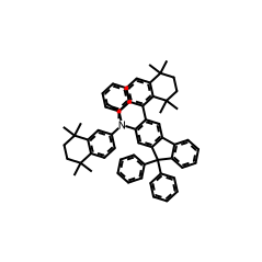 CC(C)c1ccc2c(c1-c1cc3c(cc1N(c1ccccc1)c1ccc4c(c1)C(C)(C)CCC4(C)C)C(c1ccccc1)(c1ccccc1)c1ccccc1-3)C(C)(C)CCC2(C)C